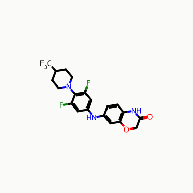 O=C1COc2cc(Nc3cc(F)c(N4CCC(C(F)(F)F)CC4)c(F)c3)ccc2N1